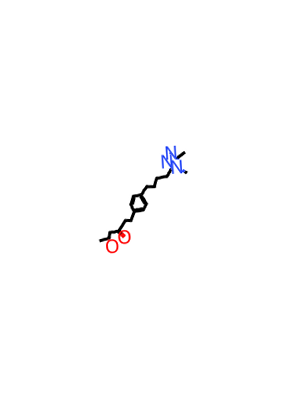 CC(=O)CC(=O)CCc1ccc(CCCCc2nnc(C)n2C)cc1